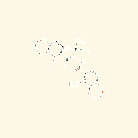 Cc1c(C(=O)NN(C(=O)c2ccc3c(c2F)COCO3)C(C)(C)C)ccc2c1COCO2